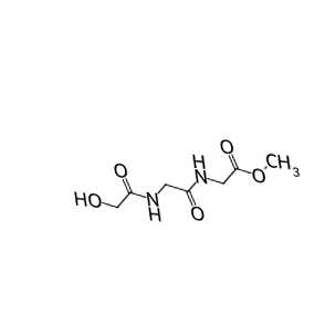 COC(=O)CNC(=O)CNC(=O)CO